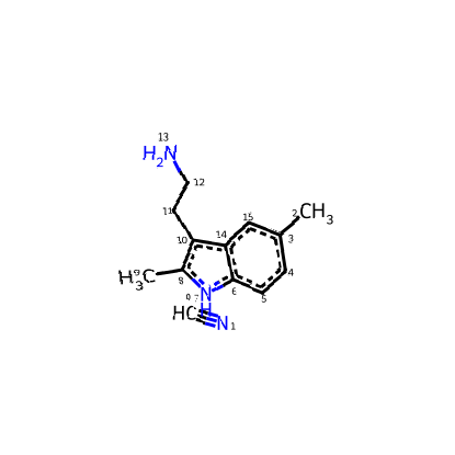 C#N.Cc1ccc2[nH]c(C)c(CCN)c2c1